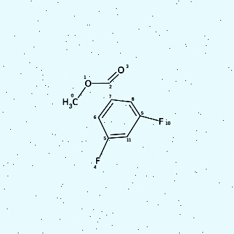 COC=O.Fc1cccc(F)c1